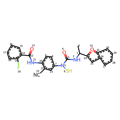 CC(NC(=O)N(S)c1ccc(NC(=O)c2ccccc2F)c(C#N)c1)c1cc2ccccc2o1